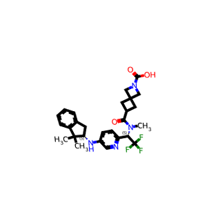 CN(C(=O)C1CC2(C1)CN(C(=O)O)C2)[C@@H](c1ccc(N[C@H]2Cc3ccccc3C2(C)C)cn1)C(F)(F)F